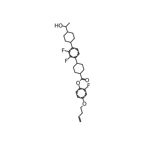 C=CCCOc1ccc(OC(=O)C2CCC(c3ccc(C4CCC(C(C)O)CC4)c(F)c3F)CC2)c(F)c1